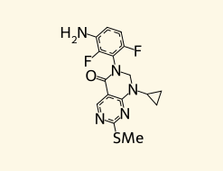 CSc1ncc2c(n1)N(C1CC1)CN(c1c(F)ccc(N)c1F)C2=O